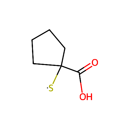 O=C(O)C1([S])CCCC1